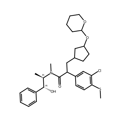 CSc1ccc(C(CC2CCC(OC3CCCCO3)C2)C(=O)N(C)[C@H](C)[C@H](O)c2ccccc2)cc1Cl